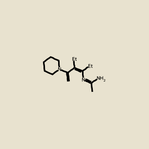 C=C(/C(CC)=C(CC)\N=C(\C)N)N1CCCCC1